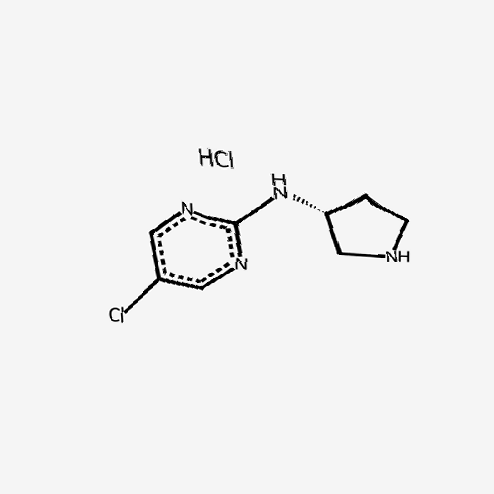 Cl.Clc1cnc(N[C@@H]2CCNC2)nc1